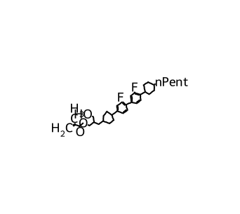 C=C(C)C(=O)OCC(CO)CC1CCC(c2ccc(-c3ccc(C4CCC(CCCCC)CC4)c(F)c3)c(F)c2)CC1